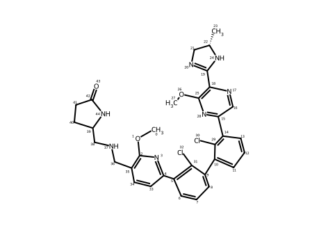 COc1nc(-c2cccc(-c3cccc(-c4cnc(C5=NC[C@H](C)N5)c(OC)n4)c3Cl)c2Cl)ccc1CNCC1CCC(=O)N1